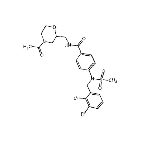 CC(=O)N1CCOC(CNC(=O)c2ccc(N(Cc3cccc(Cl)c3Cl)S(C)(=O)=O)cc2)C1